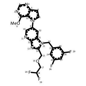 COc1ncnc2ccn(-c3cnc4nc(COCC(F)F)n(Cc5cc(F)cc(F)c5)c4c3)c12